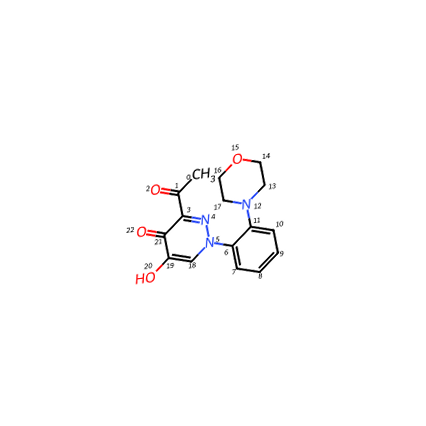 CC(=O)c1nn(-c2ccccc2N2CCOCC2)cc(O)c1=O